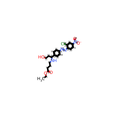 CCOC(=O)CCCNC(CCO)c1ccc(N=Nc2ccc([N+](=O)[O-])cc2Cl)cc1